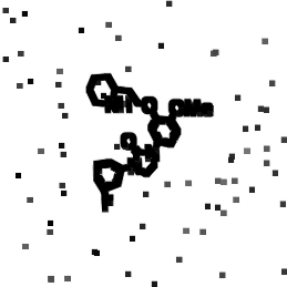 COc1ccc(N2CCN(c3cccc(F)c3)C2=O)cc1OCCC1CCCCN1